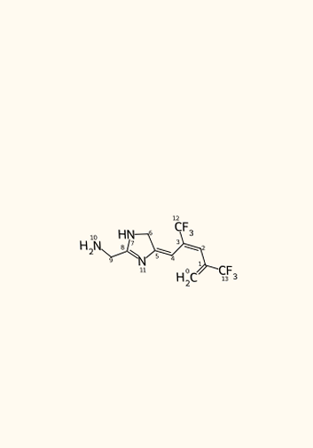 C=C(/C=C(\C=C1/CNC(CN)=N1)C(F)(F)F)C(F)(F)F